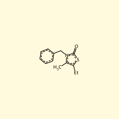 CCc1sc(=O)n(Cc2ccccc2)c1C